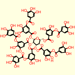 O=C(OC[C@H]1O[C@@H](OC(=O)c2cc(O)c(O)c(OC(=O)c3cc(O)c(O)c(O)c3)c2)[C@@H](OC(=O)c2cc(O)c(O)c(OC(=O)c3cc(O)c(O)c(O)c3)c2)[C@@H](OC(=O)c2cc(O)c(O)c(OC(=O)c3cc(O)c(O)c(O)c3)c2)[C@H]1OC(=O)c1cc(O)c(O)c(OC(=O)c2cc(O)c(O)c(O)c2)c1)c1cc(O)c(O)c(OC(=O)c2cc(O)c(O)c(O)c2)c1